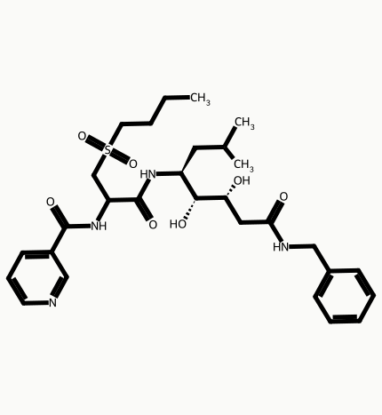 CCCCS(=O)(=O)CC(NC(=O)c1cccnc1)C(=O)N[C@@H](CC(C)C)[C@@H](O)[C@H](O)CC(=O)NCc1ccccc1